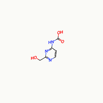 O=C(O)Nc1ccnc(CO)n1